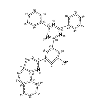 Brc1cc(-c2ccc3ccc4cccnc4c3n2)cc(-c2nc(-c3ccccc3)nc(-c3ccccc3)n2)c1